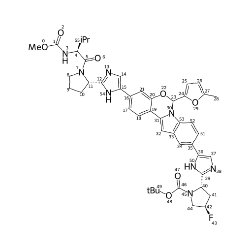 COC(=O)N[C@H](C(=O)N1CCC[C@H]1c1ncc(-c2ccc3c(c2)OC(c2ccc(C)o2)n2c-3cc3cc(-c4cnc([C@@H]5C[C@@H](F)CN5C(=O)OC(C)(C)C)[nH]4)ccc32)[nH]1)C(C)C